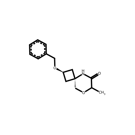 CC1OC[C@]2(C[C@H](OCc3ccccc3)C2)NC1=O